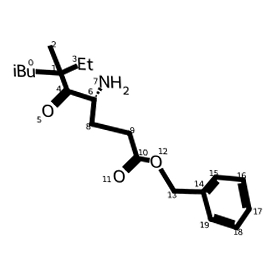 CCC(C)C(C)(CC)C(=O)[C@H](N)CCC(=O)OCc1ccccc1